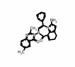 Cc1ccc2nc(C)n(N3C=C(c4ccccc4)n4c(N)cc5c4C(=CCC5)C3=O)c(=O)c2c1